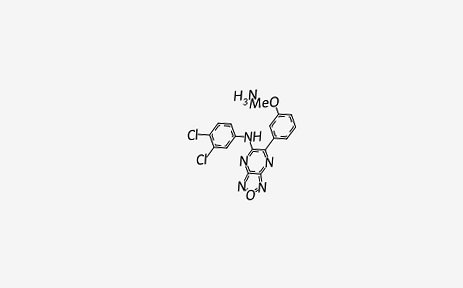 COc1cccc(-c2nc3nonc3nc2Nc2ccc(Cl)c(Cl)c2)c1.N